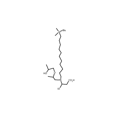 CCC(CC(=O)O)N(CCCCCCCCCCC[Si](C)(C)C(C)(C)C)CC(C)OCC(C)O